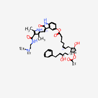 CCC(=O)O[C@@H]1C[C@H](O)[C@H](C/C=C\CCCC(=O)Oc2ccc3c(c2)/C(=C/c2[nH]c(C)c(C(=O)NCCN(CC)CC)c2C)C(=O)N3)[C@H]1CC[C@@H](O)CCc1ccccc1